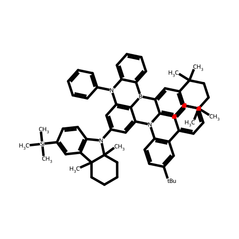 CC(C)(C)c1ccc(N2c3cc4c(cc3B3c5ccccc5N(c5ccccc5)c5cc(N6c7ccc([Si](C)(C)C)cc7C7(C)CCCCC67C)cc2c53)C(C)(C)CCC4(C)C)c(-c2ccccc2)c1